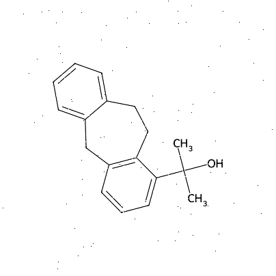 CC(C)(O)c1cccc2c1CCc1ccccc1C2